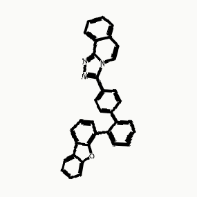 c1ccc(-c2cccc3c2oc2ccccc23)c(-c2ccc(-c3nnc4c5ccccc5ccn34)cc2)c1